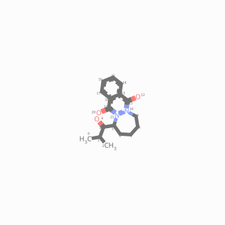 CC(C)C(=O)C1CCCCn2c(=O)c3ccccc3c(=O)n21